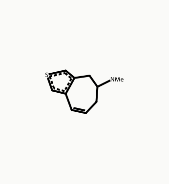 CNC1CC=Cc2cscc2C1